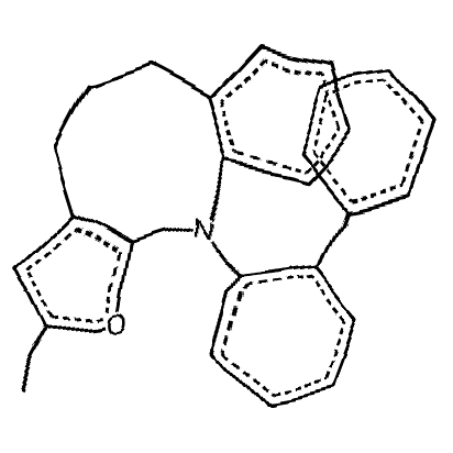 Cc1cc2c(o1)N(c1ccccc1-c1ccccc1)c1ccccc1CCC2